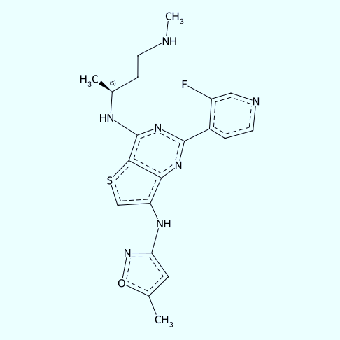 CNCC[C@H](C)Nc1nc(-c2ccncc2F)nc2c(Nc3cc(C)on3)csc12